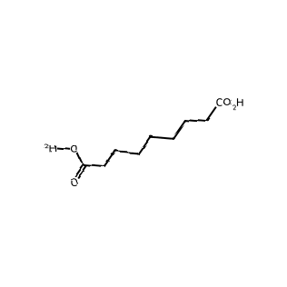 [2H]OC(=O)CCCCCCCC(=O)O